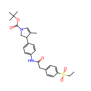 CCS(=O)(=O)c1ccc(CC(=O)Nc2ccc(C3CN(C(=O)OC(C)(C)C)C=C3C)cc2)cc1